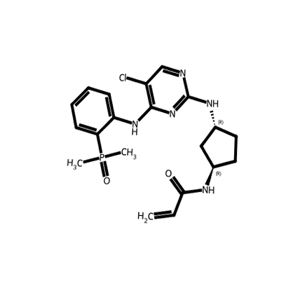 C=CC(=O)N[C@@H]1CC[C@@H](Nc2ncc(Cl)c(Nc3ccccc3P(C)(C)=O)n2)C1